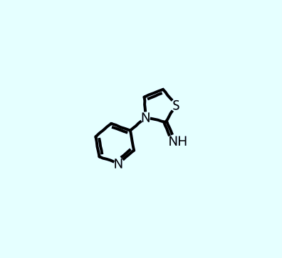 N=c1sccn1-c1cccnc1